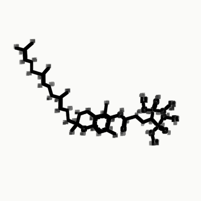 CCOP(=O)(OCC)C(CCC(=O)Oc1c(C)cc2c(c1C)CCC(C)(CC/C=C(\C)CC/C=C(\C)CCC=C(C)C)O2)P(=O)(OCC)OCC